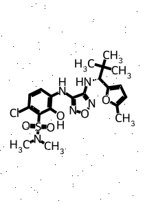 Cc1ccc([C@H](Nc2nonc2Nc2ccc(Cl)c(S(=O)(=O)N(C)C)c2O)C(C)(C)C)o1